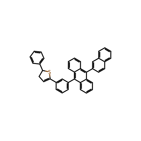 C1=C(c2cccc(-c3c4ccccc4c(-c4ccc5ccccc5c4)c4ccccc34)c2)SC(c2ccccc2)C1